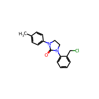 Cc1ccc(N2CCN(c3ccccc3CCl)C2=O)cc1